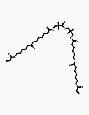 C=CC(=O)OCCCCCC(=O)OCCCCCC(=O)OCC(C)(C)COC(=O)C(C)(C)COC(=O)CCCCCOC(=O)CCCCCOC(=O)C=C